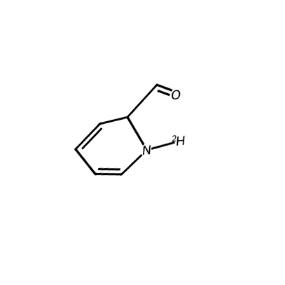 [2H]N1C=CC=CC1C=O